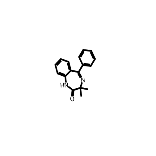 CC1(C)N=C(c2ccccc2)c2ccccc2NC1=O